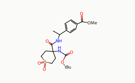 COC(=O)c1ccc(C(C)NC(=O)C2(NC(=O)OC(C)(C)C)CCS(=O)(=O)CC2)cc1